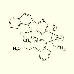 CCC1(C)c2c(cc(CC(C)C)c3ccccc23)-c2c3c(nc[n+]2C1(C)C)-c1ccc2ccccc2c1C3(C)C